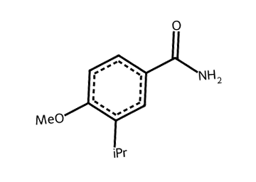 COc1ccc(C(N)=O)cc1C(C)C